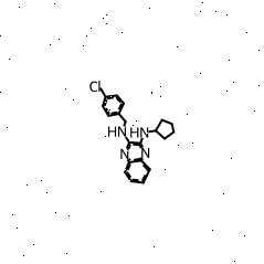 Clc1ccc(CNc2nc3ccccc3nc2NC2CCCC2)cc1